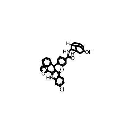 O=C(NC1[C@@H]2CC3C[C@H]1CC(O)(C3)C2)c1ccc(C(c2ccccc2)c2c(-c3ncco3)[nH]c3cc(Cl)ccc3c2=O)cc1